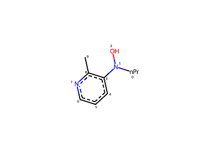 CCCN(O)c1cccnc1C